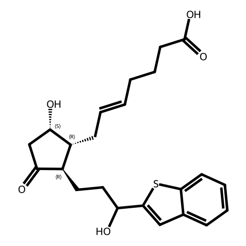 O=C(O)CCCC=CC[C@H]1[C@@H](O)CC(=O)[C@@H]1CCC(O)c1cc2ccccc2s1